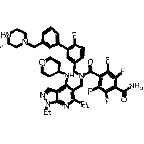 CCc1nc2c(cnn2CC)c(NC2CCOCC2)c1CN(Cc1ccc(F)c(-c2cccc(CN3CCN[C@@H](C)C3)c2)c1)C(=O)c1c(F)c(F)c(C(N)=O)c(F)c1F